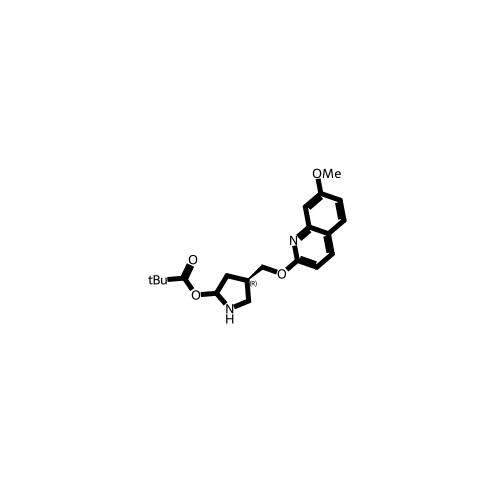 COc1ccc2ccc(OC[C@H]3CNC(OC(=O)C(C)(C)C)C3)nc2c1